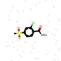 CNC(=O)c1ccc(S(C)(=O)=O)cc1Cl